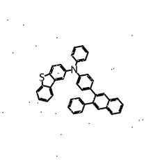 c1ccc(-c2cc3ccccc3cc2-c2ccc(N(c3ccccc3)c3ccc4sc5ccccc5c4c3)cc2)cc1